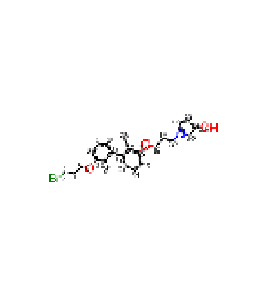 Cc1c(OCCCBr)cccc1-c1cccc(OCCCN2CCC(O)C2)c1C